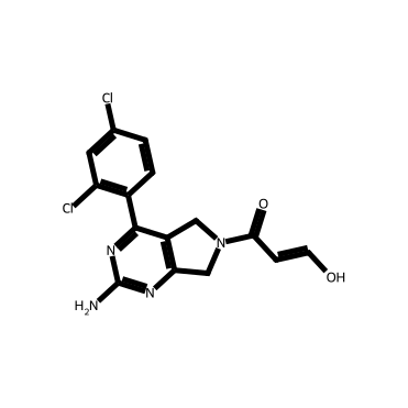 Nc1nc2c(c(-c3ccc(Cl)cc3Cl)n1)CN(C(=O)C=CO)C2